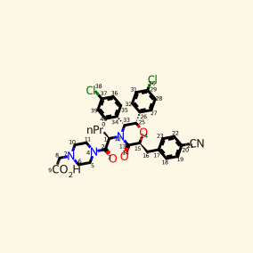 CCC[C@H](C(=O)N1CCN(CC(=O)O)CC1)N1C(=O)[C@H](Cc2ccc(C#N)cc2)O[C@@H](c2ccc(Cl)cc2)[C@H]1c1ccc(Cl)cc1